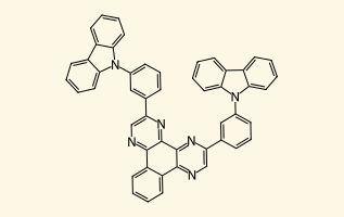 c1cc(-c2cnc3c4ccccc4c4ncc(-c5cccc(-n6c7ccccc7c7ccccc76)c5)nc4c3n2)cc(-n2c3ccccc3c3ccccc32)c1